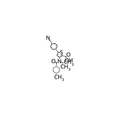 CC(C)N(c1cc(-c2ccc(C#N)cc2)sc1C(=O)O)C(=O)[C@H]1CC[C@H](C)CC1